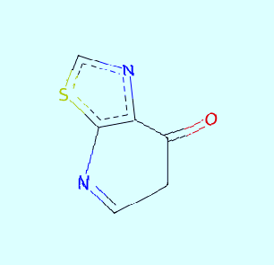 O=C1CC=Nc2scnc21